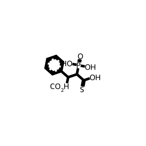 O=C(O)C(c1ccccc1)C(C(O)=S)P(=O)(O)O